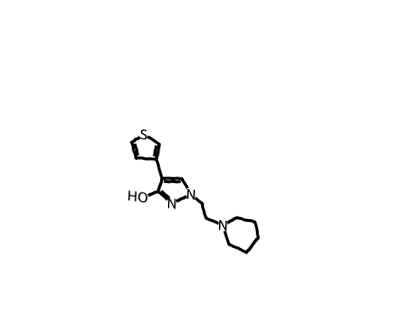 Oc1nn(CCN2CCCCC2)cc1-c1ccsc1